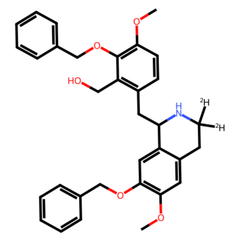 [2H]C1([2H])Cc2cc(OC)c(OCc3ccccc3)cc2C(Cc2ccc(OC)c(OCc3ccccc3)c2CO)N1